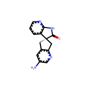 Nc1cnc2c(c1)C[C@@]1(C2)C(=O)Nc2ncccc21